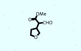 COC(=O)C(C=O)C1CCOC1